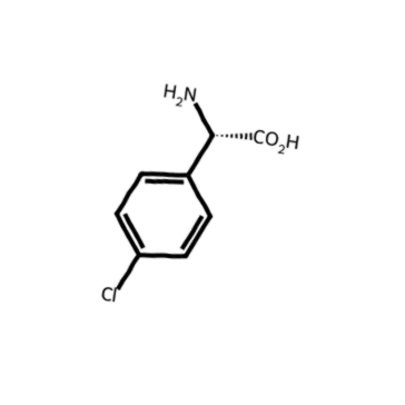 N[C@H](C(=O)O)c1ccc(Cl)cc1